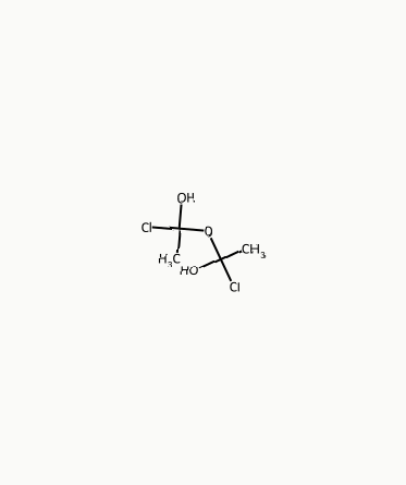 CC(O)(Cl)OC(C)(O)Cl